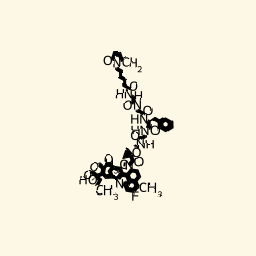 C=C1C=CC(=O)N1CCCCCC(=O)NCC(=O)NCC(=O)N[C@@H](Cc1ccccc1)C(=O)NCC(=O)NCOC1(C(=O)N(C)[C@@H]2CCc3c(C)c(F)cc4nc5c(c2c34)CC2CC5=CC3=C(COC(=O)[C@]3(O)CCC)C2=O)CC1